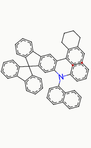 c1ccc(N(c2cc3c(cc2-c2cccc4c2CCCC4)-c2ccccc2C32c3ccccc3-c3ccccc32)c2cccc3ccccc23)cc1